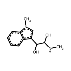 CNC(O)C(O)c1cn(C)c2ccccc12